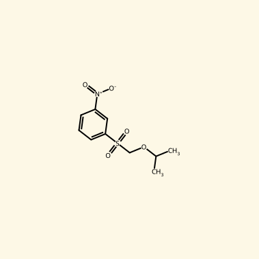 CC(C)OCS(=O)(=O)c1cccc([N+](=O)[O-])c1